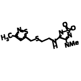 CNC1=NS(=O)(=O)N=C1NCCSCc1cc(C)ns1